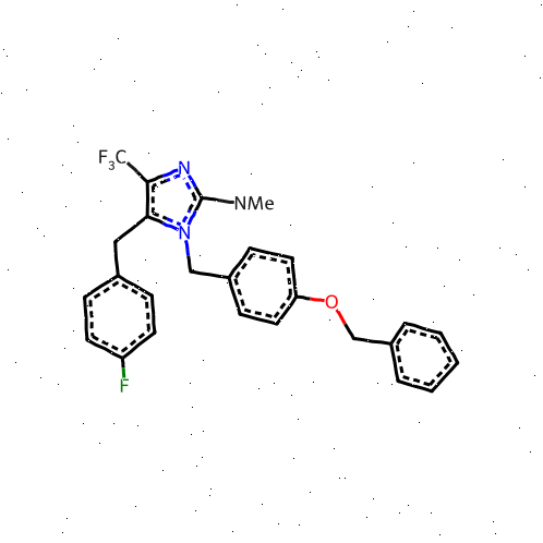 CNc1nc(C(F)(F)F)c(Cc2ccc(F)cc2)n1Cc1ccc(OCc2ccccc2)cc1